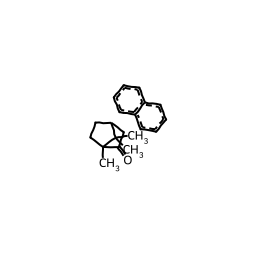 CC12CCC(CC1=O)C2(C)C.c1ccc2ccccc2c1